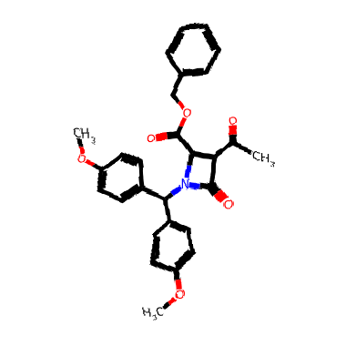 COc1ccc(C(c2ccc(OC)cc2)N2C(=O)C(C(C)=O)C2C(=O)OCc2ccccc2)cc1